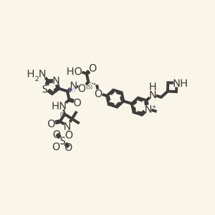 C[n+]1ccc(-c2ccc(OC[C@H](O/N=C(\C(=O)N[C@@H]3C(=O)N(OS(=O)(=O)[O-])C3(C)C)c3csc(N)n3)C(=O)O)cc2)cc1NCC1CNC1